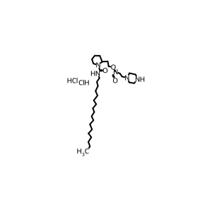 CCCCCCCCCCCCCCCCCCNC(=O)N1CCCCC1CCON(C=O)CCN1CCNCC1.Cl.Cl